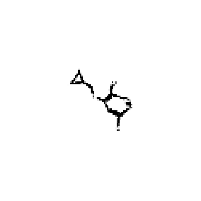 Clc1cc(OCC2CC2)c(Cl)nn1